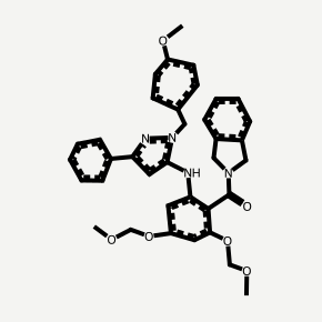 COCOc1cc(Nc2cc(-c3ccccc3)nn2Cc2ccc(OC)cc2)c(C(=O)N2Cc3ccccc3C2)c(OCOC)c1